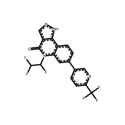 O=c1c2cn[nH]c2c2ccc(-c3ccc(C(F)(F)F)nc3)cc2n1C(F)C(F)F